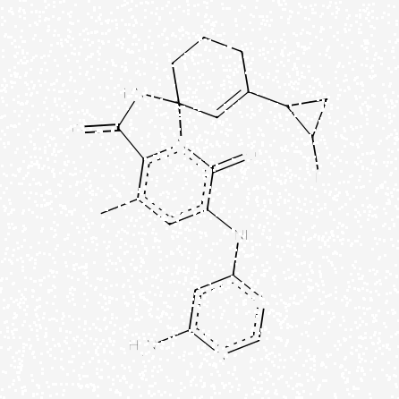 Cc1cc(Nc2cc(N)ncn2)c(=O)n2c1C(=O)NC21C=C(C2CC2F)CCC1